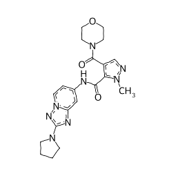 Cn1ncc(C(=O)N2CCOCC2)c1C(=O)Nc1ccn2nc(N3CCCC3)nc2c1